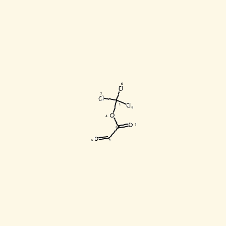 O=CC(=O)OC(Cl)(Cl)Cl